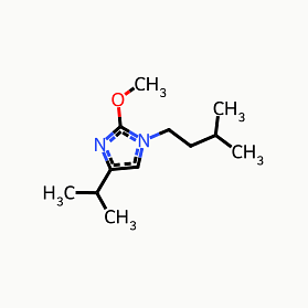 COc1nc(C(C)C)cn1CCC(C)C